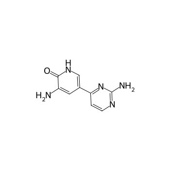 Nc1nccc(-c2c[nH]c(=O)c(N)c2)n1